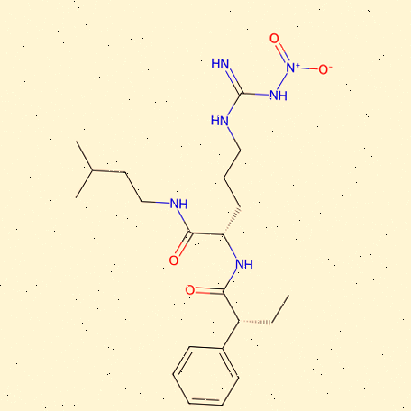 CC[C@@H](C(=O)N[C@@H](CCCNC(=N)N[N+](=O)[O-])C(=O)NCCC(C)C)c1ccccc1